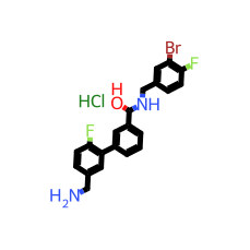 Cl.NCc1ccc(F)c(-c2cccc(C(O)NCc3ccc(F)c(Br)c3)c2)c1